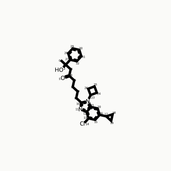 CC(O)(CC(=O)CCCCc1nc2c(Cl)cc(C3CC3)cc2n1C1CCC1)c1ccccc1